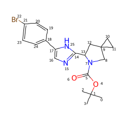 CC(C)(C)OC(=O)N1CC2(CC2)CC1c1ncc(-c2ccc(Br)cc2)[nH]1